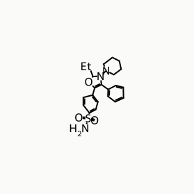 CCC1OC(c2ccc(S(N)(=O)=O)cc2)=C(c2ccccc2)N1N1CCCCC1